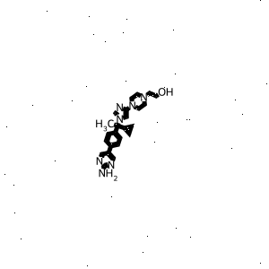 CC(c1ccc(-c2cnc(N)nc2)cc1)(C1CC1)n1cnc(N2CCN(CCO)CC2)c1